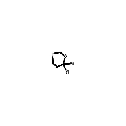 CCC1(Cl)CCCCO1